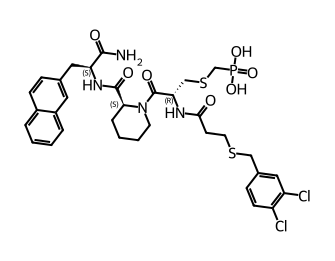 NC(=O)[C@H](Cc1ccc2ccccc2c1)NC(=O)[C@@H]1CCCCN1C(=O)[C@H](CSCP(=O)(O)O)NC(=O)CCSCc1ccc(Cl)c(Cl)c1